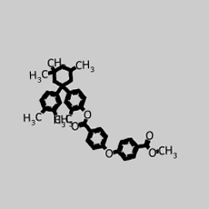 COC(=O)c1ccc(Oc2ccc(C(=O)Oc3ccc(C4(c5ccc(C)c(C)c5)CC(C)CC(C)(C)C4)cc3C)cc2)cc1